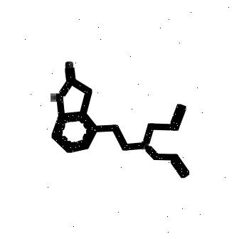 C=CCN(CC=C)CCc1cccc2c1CC(=O)N2